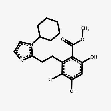 COC(=O)c1c(O)cc(O)c(Cl)c1CCc1nccn1C1CCCCC1